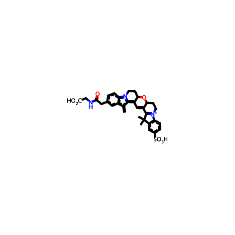 C=c1c2n(c3ccc(CC(=O)NCC(=O)O)cc13)CCC1OC3CC[N+]4=C(C3=CC=21)C(C)(C)c1cc(S(=O)(=O)O)ccc14